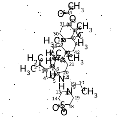 C=C(C)[C@@H]1CC[C@]2(NC[C@H](CC)N3CCS(=O)(=O)CC3)CC[C@]3(C)[C@H](CCC4[C@@]5(C)CC[C@H](OC(C)=O)C(C)(C)C5CC[C@]43C)[C@@H]12